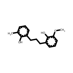 COc1cccc(CCCc2cccc(C)c2O)c1O